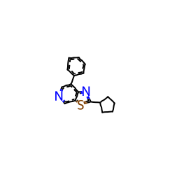 c1ccc(-c2cncc3sc(C4CCCC4)nc23)cc1